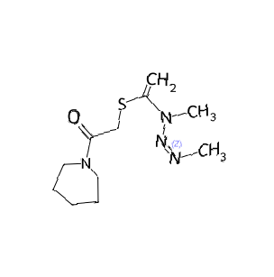 C=C(SCC(=O)N1CCCCC1)N(C)/N=N\C